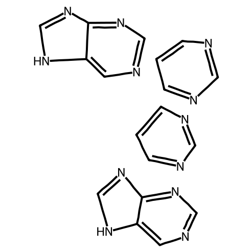 c1cncnc1.c1cncnc1.c1ncc2[nH]cnc2n1.c1ncc2[nH]cnc2n1